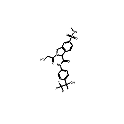 CNS(=O)(=O)c1ccc2c(c1)CN(C(=O)CO)C2C(=O)Nc1ccc(C(C)(O)C(F)(F)F)cc1